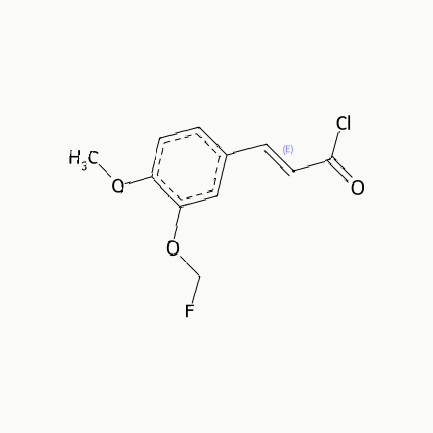 COc1ccc(/C=C/C(=O)Cl)cc1OCF